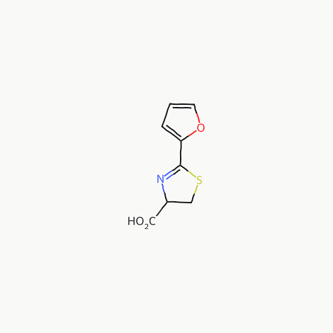 O=C(O)C1CSC(c2ccco2)=N1